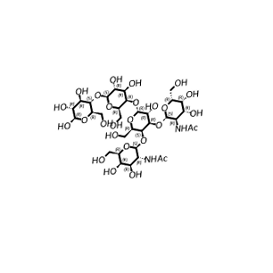 CC(=O)N[C@H]1[C@H](O[C@@H]2[C@@H](O)[C@@H](O[C@@H]3[C@H](O)[C@@H](O)[C@H](O[C@H]4[C@H](O)[C@@H](O)[C@H](O)O[C@@H]4CO)O[C@@H]3CO)O[C@H](CO)[C@@H]2O[C@@H]2O[C@H](CO)[C@H](O)[C@H](O)[C@H]2NC(C)=O)O[C@H](CO)[C@H](O)[C@@H]1O